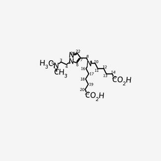 CN(C)CCn1cc(CN(CCCCCC(=O)O)CCCCCC(=O)O)cn1